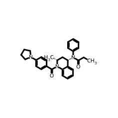 CCC(=O)N(c1ccccc1)[C@H]1C[C@@H](C)N(C(=O)c2ccc(N3CCCC3)cc2)c2ccccc21